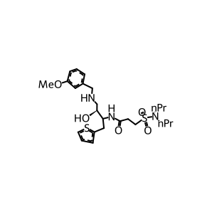 CCCN(CCC)S(=O)(=O)CCC(=O)NC(Cc1cccs1)[C@@H](O)CNCc1cccc(OC)c1